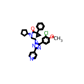 COc1ccc(-c2nc(-c3ccncc3)nn2CCN(C(=O)C2(c3ccccc3)CC2)C2CCCC2)cc1Cl